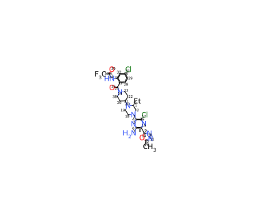 CC[C@H]1CN(c2nc(N)c(-c3nnc(C)o3)nc2Cl)CCN1C1CCN(C(=O)c2ccc(Cl)cc2NC(=O)C(F)(F)F)CC1